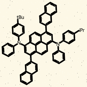 CC(C)c1ccc(N(c2ccccc2)c2cc(-c3ccc4ccccc4c3)c3ccc4c(N(c5ccccc5)c5ccc(C(C)(C)C)cc5)cc(-c5ccc6ccccc6c5)c5ccc2c3c54)cc1